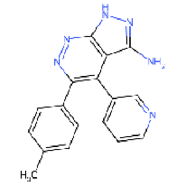 Cc1ccc(-c2nnc3[nH]nc(N)c3c2-c2cccnc2)cc1